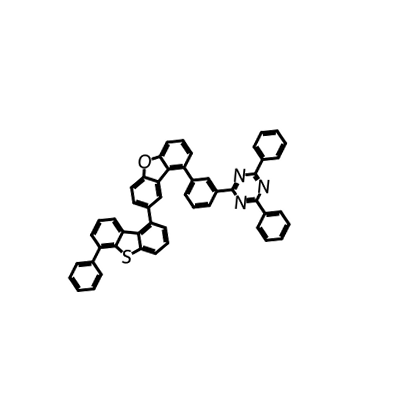 c1ccc(-c2nc(-c3ccccc3)nc(-c3cccc(-c4cccc5oc6ccc(-c7cccc8sc9c(-c%10ccccc%10)cccc9c78)cc6c45)c3)n2)cc1